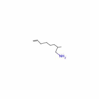 C=CCCCCC(C)CN